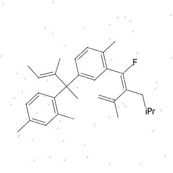 C=C(C)/C(CC(C)C)=C(/F)c1cc(C(C)(/C(C)=C/C)c2ccc(C)cc2C)ccc1C